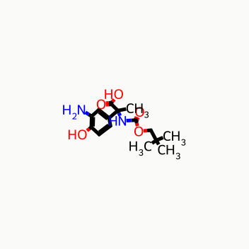 CC(C)(C)COC(=O)NC(C)(C(=O)O)c1ccc(O)c(N)c1